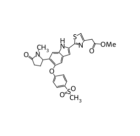 COC(=O)Cc1csc(-c2cc3cc(Oc4ccc(S(C)(=O)=O)cc4)c(C4CCC(=O)N4C)cc3[nH]2)n1